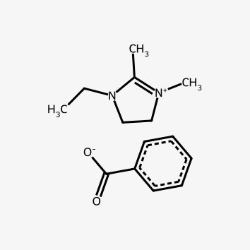 CCN1CC[N+](C)=C1C.O=C([O-])c1ccccc1